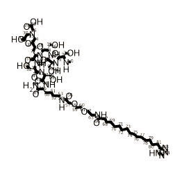 CN[C@@H](CO)C(=O)N[C@@H](CO)C(=O)N[C@@H](CO)C(=O)N[C@@H](CCCCN(CC(=O)O)CC(=O)O)C(=O)N[C@@H](CO)C(=O)N[C@@H](CO)C(=O)N[C@@H](CCCCNC(=O)COCCOCCNC(=O)CCCCCCCCCCCCCCCc1nnn[nH]1)C(N)=O